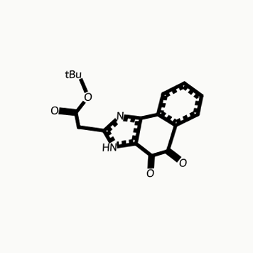 CC(C)(C)OC(=O)Cc1nc2c([nH]1)C(=O)C(=O)c1ccccc1-2